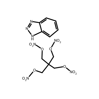 O=[N+]([O-])OCC(CO[N+](=O)[O-])(CO[N+](=O)[O-])CO[N+](=O)[O-].c1ccc2[nH]nnc2c1